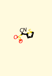 N#CC(c1cccs1)=S(=O)=O